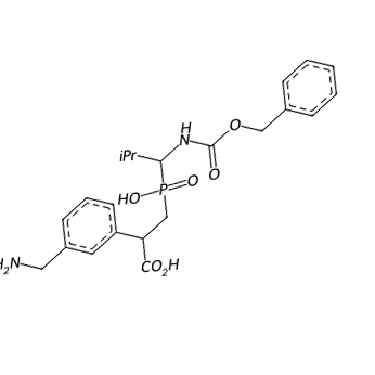 CC(C)C(NC(=O)OCc1ccccc1)P(=O)(O)CC(C(=O)O)c1cccc(CN)c1